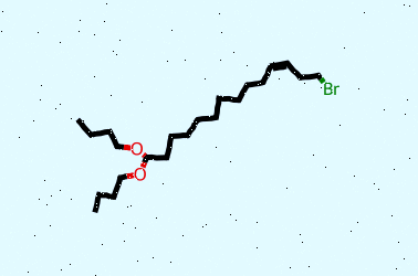 CCCCOC(CCCCCCCCC/C=C\CCBr)OCCCC